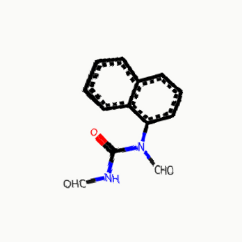 O=CNC(=O)N(C=O)c1cccc2ccccc12